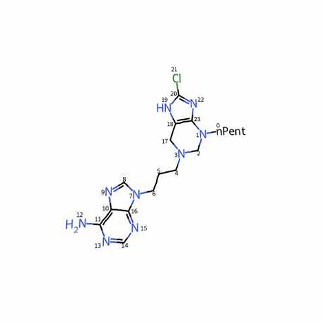 CCCCCN1CN(CCCn2cnc3c(N)ncnc32)Cc2[nH]c(Cl)nc21